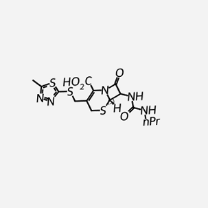 CCCNC(=O)NC1C(=O)N2C(C(=O)O)=C(CSc3nnc(C)s3)CS[C@@H]12